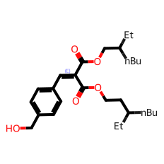 CCCCC(CC)CCOC(=O)/C(=C\c1ccc(CO)cc1)C(=O)OCC(CC)CCCC